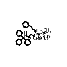 CCOC(C)(OCC)OC(=O)N(NCCc1ccccc1)C(C=O)CC(=O)NC(c1ccccc1)(c1ccccc1)c1ccccc1